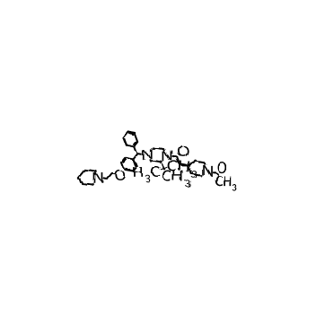 CC(=O)N1CCC(CC(=O)N2CCN(C(c3ccccc3)c3ccc(OCCN4CCCCC4)cc3)C[C@@H]2C(C)(C)C)CC1